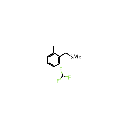 CSCc1ccccc1C.FC(F)F